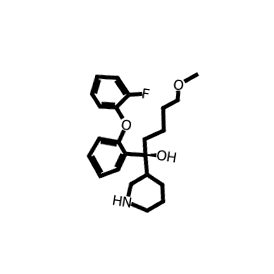 COCCCC[C@@](O)(c1ccccc1Oc1ccccc1F)C1CCCNC1